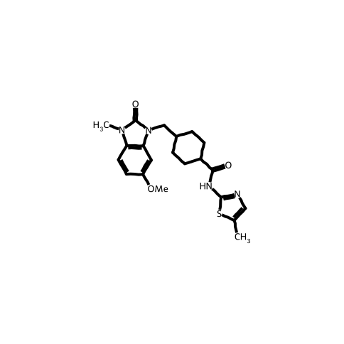 COc1ccc2c(c1)n(CC1CCC(C(=O)Nc3ncc(C)s3)CC1)c(=O)n2C